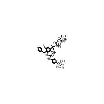 COc1cc(C(C)(C)C)c(O)c(NC(=O)Nc2cccnc2)c1Cc1ccncc1.O=P(O)(O)O.O=P(O)(O)O.O=P(O)(O)O